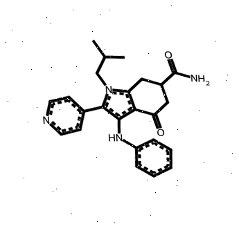 CC(C)Cn1c2c(c(Nc3ccccc3)c1-c1ccncc1)C(=O)CC(C(N)=O)C2